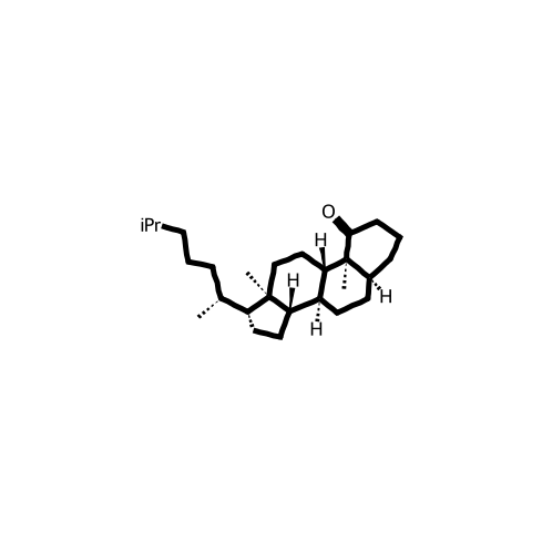 CC(C)CCC[C@@H](C)[C@H]1CC[C@H]2[C@@H]3CC[C@@H]4CCCC(=O)[C@]4(C)[C@H]3CC[C@]12C